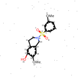 COc1cccc(S(=O)(=O)N2CCc3cc(O)c(OC)cc3C2)c1